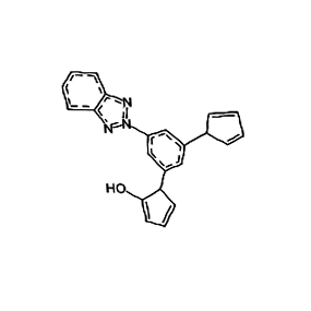 OC1=CC=CC1c1cc(C2C=CC=C2)cc(-n2nc3ccccc3n2)c1